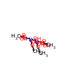 CC=C(O)C(=O)OCCCN(CCC(O)N(CCCOC(=O)C(O)=CC)CC(O)COCCCC)CC(O)COCCCC